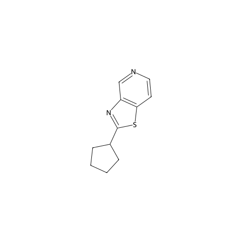 c1cc2sc(C3CCCC3)nc2cn1